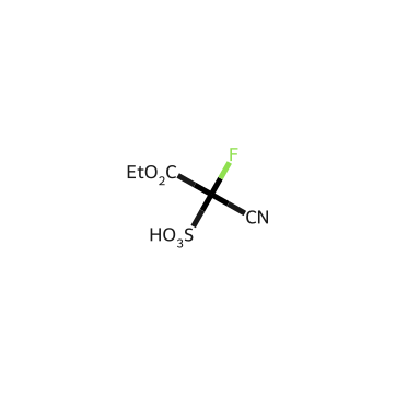 CCOC(=O)C(F)(C#N)S(=O)(=O)O